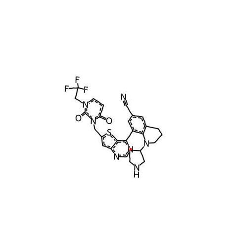 N#Cc1cc2c(c(-c3ncnc4cc(Cn5c(=O)ccn(CC(F)(F)F)c5=O)sc34)c1)N(C1CCNC1)CCC2